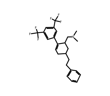 CN(C)CC1CC(CCc2ccccc2)CC=C1c1cc(C(F)(F)F)cc(C(F)(F)F)c1